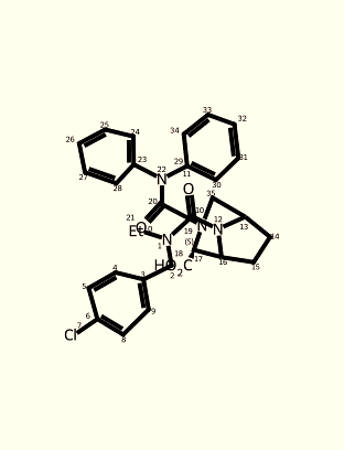 CCN(Cc1ccc(Cl)cc1)C(=O)N1C2CCC1[C@@H](C(=O)O)N(C(=O)N(c1ccccc1)c1ccccc1)C2